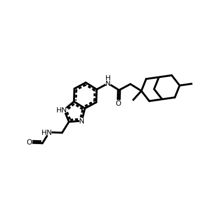 CC1CC2CC(C1)CC(C)(CC(=O)Nc1ccc3[nH]c(CNC=O)nc3c1)C2